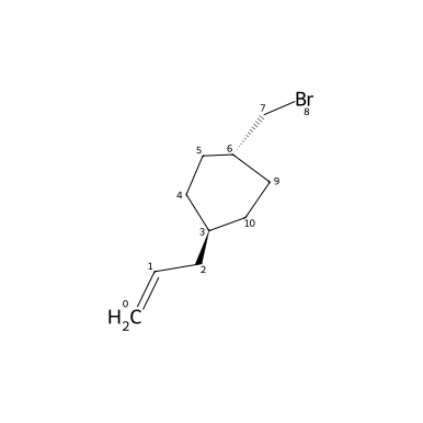 C=CC[C@H]1CC[C@H](CBr)CC1